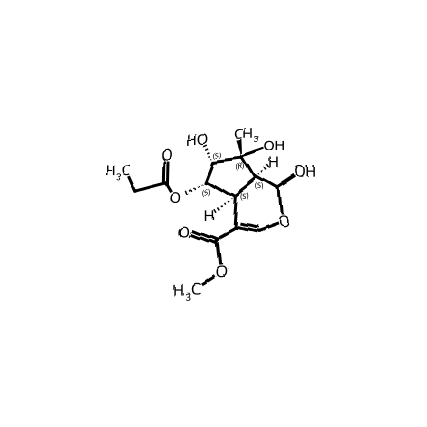 CCC(=O)O[C@H]1[C@@H]2C(C(=O)OC)=COC(O)[C@@H]2[C@@](C)(O)[C@H]1O